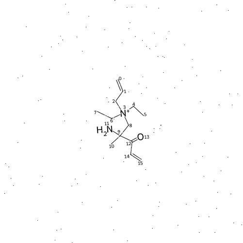 C=CC[N+](CC)(CC)CC(C)(N)C(=O)C=C